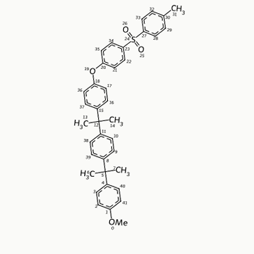 COc1ccc(C(C)(C)c2ccc(C(C)(C)c3ccc(Oc4ccc(S(=O)(=O)c5ccc(C)cc5)cc4)cc3)cc2)cc1